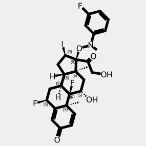 CN(O[C@]1(C(=O)CO)[C@H](I)C[C@H]2[C@@H]3C[C@H](F)C4=CC(=O)C=C[C@]4(C)[C@@]3(F)[C@@H](O)C[C@@]21C)c1cccc(F)c1